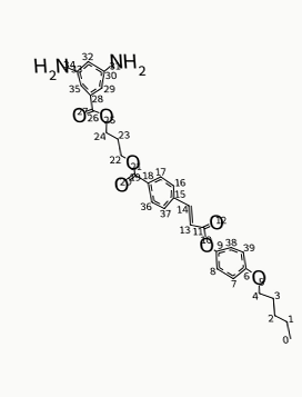 CCCCCOc1ccc(OC(=O)C=Cc2ccc(C(=O)OCCCOC(=O)c3cc(N)cc(N)c3)cc2)cc1